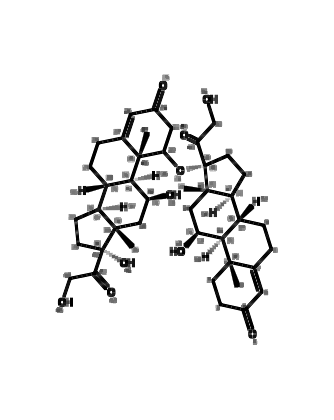 C[C@]12CCC(=O)C=C1CC[C@@H]1[C@@H]2[C@@H](O)C[C@@]2(C)[C@H]1CC[C@]2(OC1CC(=O)C=C2CC[C@@H]3[C@H]([C@@H](O)C[C@@]4(C)[C@H]3CC[C@]4(O)C(=O)CO)[C@]21C)C(=O)CO